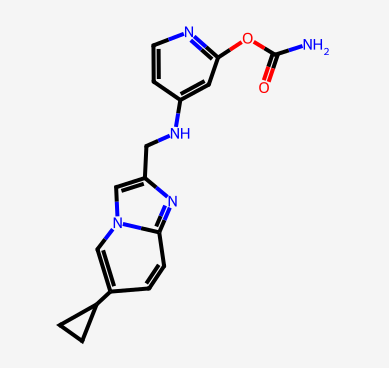 NC(=O)Oc1cc(NCc2cn3cc(C4CC4)ccc3n2)ccn1